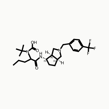 CCCC(C(=O)N[C@H]1CC[C@@H]2CN(Cc3ccc(C(F)(F)F)cc3)C[C@@H]21)N(C(=O)O)C(C)(C)C